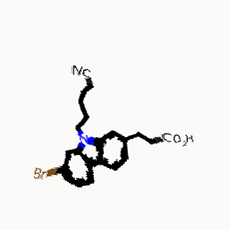 N#CCCCCn1c2cc(Br)ccc2c2ccc(CCC(=O)O)cc21